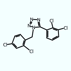 Clc1ccc(Cn2nnnc2-c2cccc(Cl)c2Cl)c(Cl)c1